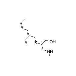 C=C/C(=C\C=C/C)CSC(CO)CNC